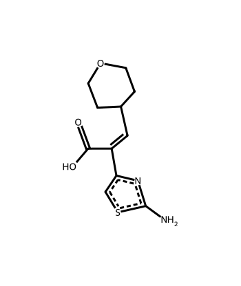 Nc1nc(C(=CC2CCOCC2)C(=O)O)cs1